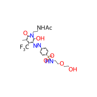 CC(=O)NCCn1c(O)c(/N=N/c2ccc(S(=O)(=O)NCCOCCO)cc2)c(C(F)(F)F)c(C)c1=O